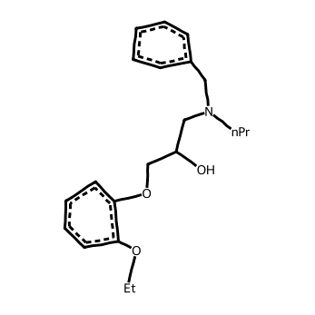 CCCN(Cc1ccccc1)CC(O)COc1ccccc1OCC